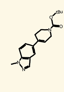 Cn1ncc2cc(C3=CCN(C(=O)OC(C)(C)C)CC3)ccc21